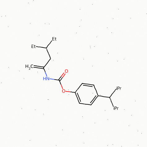 C=C(CC(CC)CC)NC(=O)Oc1ccc(C(C(C)C)C(C)C)cc1